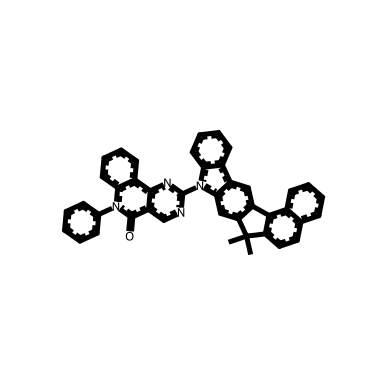 CC1(C)c2cc3c(cc2-c2c1ccc1ccccc21)c1ccccc1n3-c1ncc2c(=O)n(-c3ccccc3)c3ccccc3c2n1